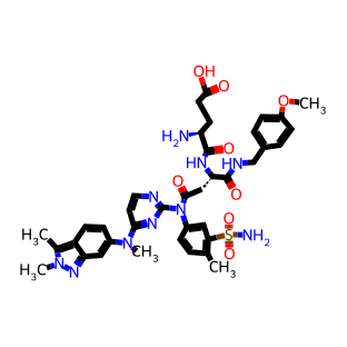 COc1ccc(CNC(=O)[C@H](CC(=O)N(c2ccc(C)c(S(N)(=O)=O)c2)c2nccc(N(C)c3ccc4c(C)n(C)nc4c3)n2)NC(=O)[C@@H](N)CCC(=O)O)cc1